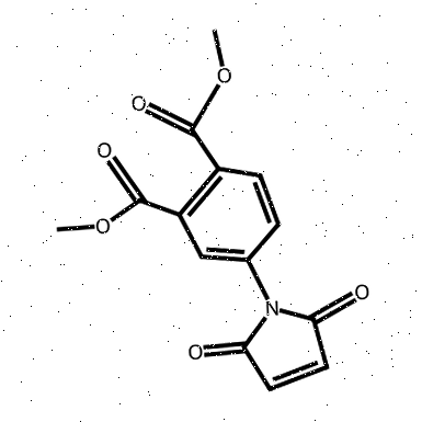 COC(=O)c1ccc(N2C(=O)C=CC2=O)cc1C(=O)OC